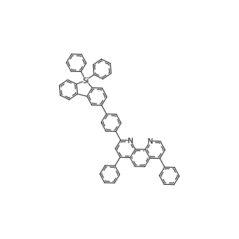 c1ccc(-c2ccnc3c2ccc2c(-c4ccccc4)cc(-c4ccc(-c5ccc6c(c5)-c5ccccc5[Si]6(c5ccccc5)c5ccccc5)cc4)nc23)cc1